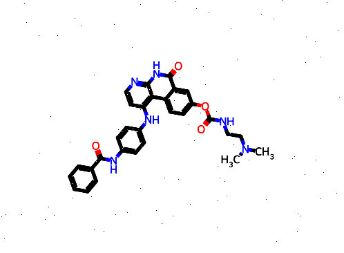 CN(C)CCNC(=O)Oc1ccc2c(c1)c(=O)[nH]c1nccc(Nc3ccc(NC(=O)c4ccccc4)cc3)c12